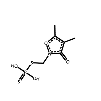 Cc1on(CSP(O)(O)=S)c(=O)c1C